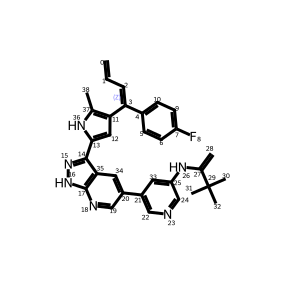 C=C/C=C(/c1ccc(F)cc1)c1cc(-c2n[nH]c3ncc(-c4cncc(NC(=C)C(C)(C)C)c4)cc23)[nH]c1C